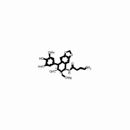 COC[C@@H]1[C@H](NC(=O)CCCN)c2cc3c(cc2C(c2cc(OC)c(O)c(OC)c2)[C@H]1C=O)OCO3